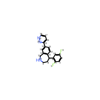 Fc1ccc(F)c(C2CCNCc3cc(-c4cccnn4)ccc32)c1